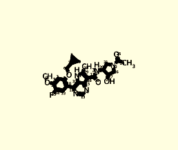 COc1cc(OCC2CC2)c(-c2ncnc3c(C(=O)NC4CN(C(C)=O)CC4O)c(C)[nH]c23)cc1F